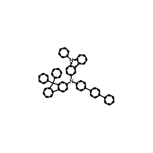 c1ccc(-c2ccc(-c3ccc(N(c4ccc5c(c4)C(c4ccccc4)(c4ccccc4)c4ccccc4-5)c4ccc5c(c4)c4ccccc4n5-c4ccccc4)cc3)cc2)cc1